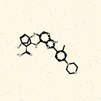 Cc1cc(N2CCOCC2)ccc1-c1nc2c(N[C@H]3[C@@H](C(N)=O)[C@@H]4C=C[C@H]3C4)c(Br)cnc2[nH]1